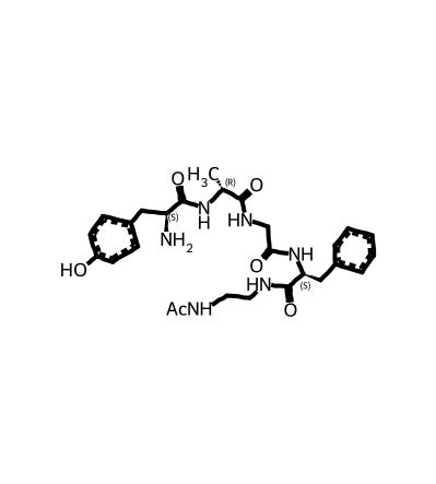 CC(=O)NCCNC(=O)[C@H](Cc1ccccc1)NC(=O)CNC(=O)[C@@H](C)NC(=O)[C@@H](N)Cc1ccc(O)cc1